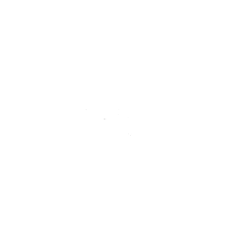 CCCCOc1cc([N+](=O)[O-])cc(C#CC(=O)OC)c1N